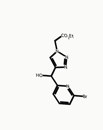 CCOC(=O)Cn1cc(C(O)c2cccc(Br)n2)nn1